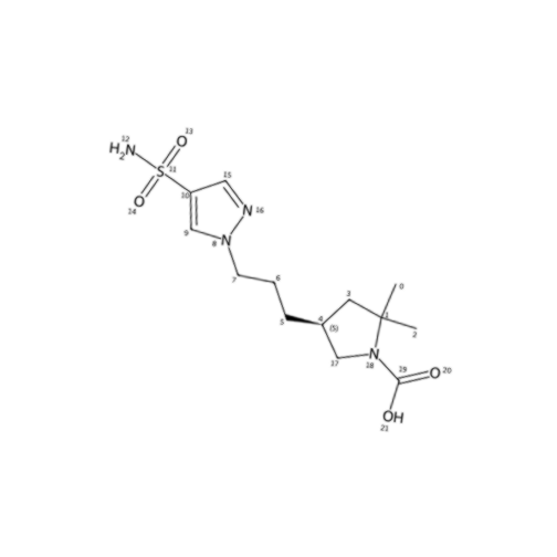 CC1(C)C[C@H](CCCn2cc(S(N)(=O)=O)cn2)CN1C(=O)O